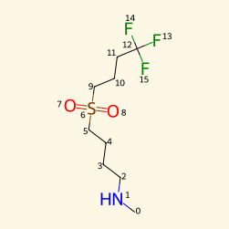 CNCCCCS(=O)(=O)CCCC(F)(F)F